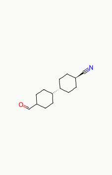 N#C[C@H]1CC[C@H](C2CCC(C=O)CC2)CC1